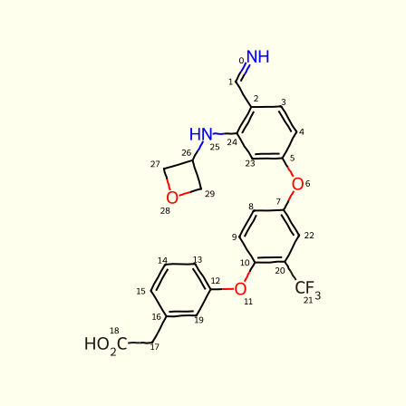 N=Cc1ccc(Oc2ccc(Oc3cccc(CC(=O)O)c3)c(C(F)(F)F)c2)cc1NC1COC1